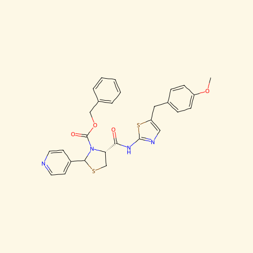 COc1ccc(Cc2cnc(NC(=O)[C@@H]3CSC(c4ccncc4)N3C(=O)OCc3ccccc3)s2)cc1